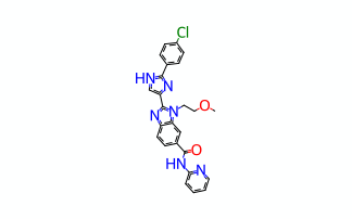 COCCn1c(-c2c[nH]c(-c3ccc(Cl)cc3)n2)nc2ccc(C(=O)Nc3ccccn3)cc21